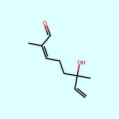 C=CC(C)(O)CCC=C(C)C=O